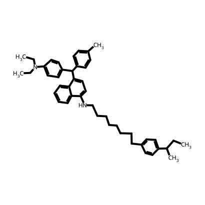 CCC(C)c1ccc(CCCCCCCCNc2ccc(C(c3ccc(C)cc3)c3ccc(N(CC)CC)cc3)c3ccccc23)cc1